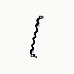 [CH]=C/C=C/CCCCCC/C=C/C